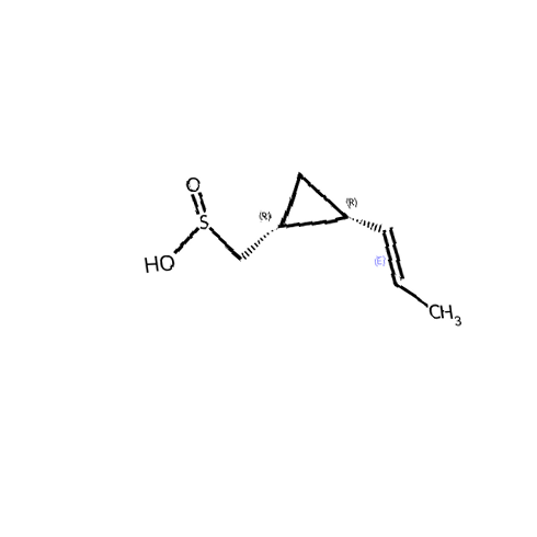 C/C=C/[C@H]1C[C@H]1CS(=O)O